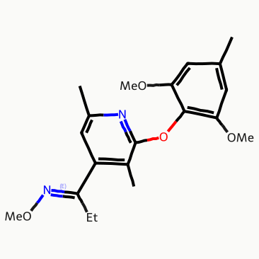 CC/C(=N\OC)c1cc(C)nc(Oc2c(OC)cc(C)cc2OC)c1C